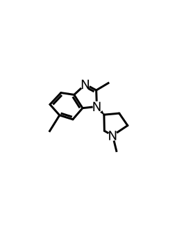 Cc1ccc2nc(C)n([C@H]3CCN(C)C3)c2c1